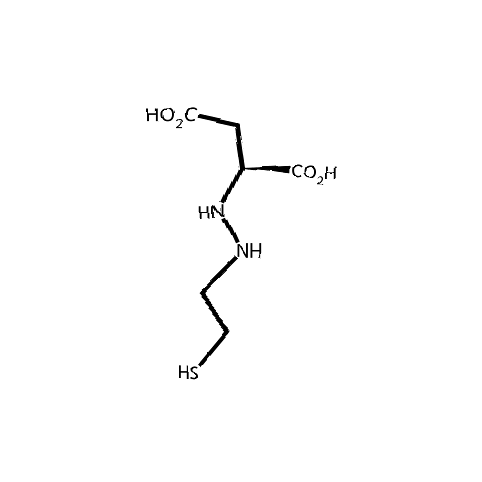 O=C(O)C[C@H](NNCCS)C(=O)O